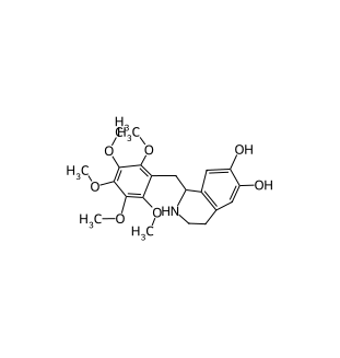 COc1c(CC2NCCc3cc(O)c(O)cc32)c(OC)c(OC)c(OC)c1OC